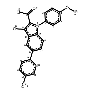 CC(C)Oc1ccc(-n2c(C(=O)Cl)c(Cl)c3cc(-c4ccc(C(F)(F)F)cn4)ccc32)cc1